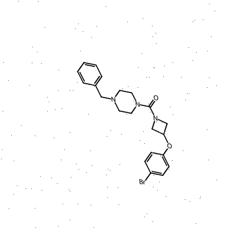 O=C(N1CCN(Cc2ccccc2)CC1)N1CC(Oc2ccc(Br)cc2)C1